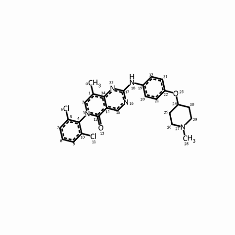 Cc1cn(-c2c(Cl)cccc2Cl)c(=O)c2cnc(Nc3ccc(OC4CCN(C)CC4)cc3)nc12